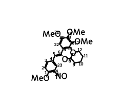 COc1ccc(C=C(OC2CCCCO2)c2cc(OC)c(OC)c(OC)c2)cc1N=O